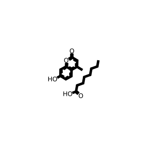 CCCCCCCC(=O)O.Cc1cc(=O)oc2cc(O)ccc12